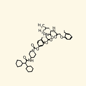 CC(C)C[C@H](NC(=O)COc1ccccc1I)C(=O)N[C@@H](Cc1ccc(OC(=O)N2CCC(NC(=O)C(C3CCCCC3)C3CCCCC3)CC2)cc1)C(=O)O